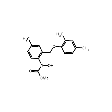 COC(=O)N(O)c1ccc(C)cc1COc1ccc(C)cc1C